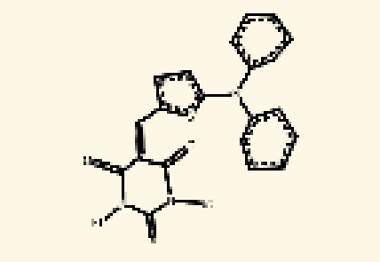 CCN1C(=O)C(=Cc2ccc(N(c3ccccc3)c3ccccc3)s2)C(=O)N(CC)C1=S